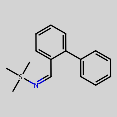 C[Si](C)(C)/N=C\c1ccccc1-c1ccccc1